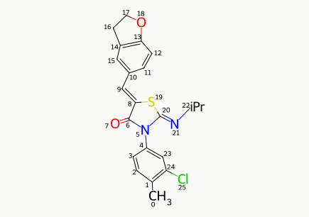 Cc1ccc(N2C(=O)/C(=C/c3ccc4c(c3)CCO4)S/C2=N\C(C)C)cc1Cl